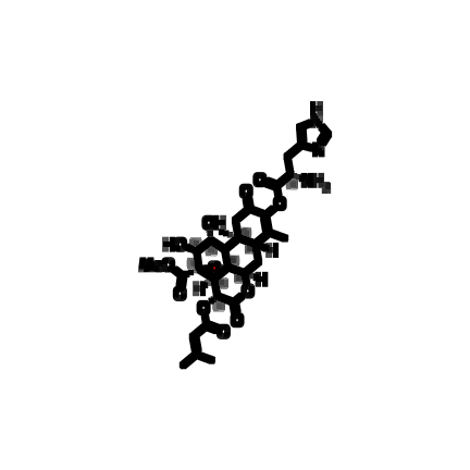 COC(=O)[C@@]12OC[C@]34C([C@@H](O)[C@@H]1O)[C@@]1(C)CC(=O)C(OC(=O)[C@@H](N)Cc5c[nH]cn5)=C(C)[C@@H]1C[C@H]3OC(=O)[C@H](OC(=O)C=C(C)C)[C@@H]24